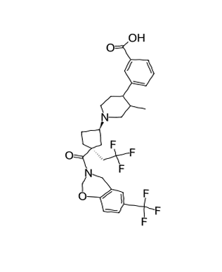 CC1CN([C@@H]2CC[C@](CC(F)(F)F)(C(=O)N3COc4ccc(C(F)(F)F)cc4C3)C2)CCC1c1cccc(C(=O)O)c1